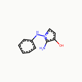 Nc1c(O)ccn1Nc1ccccc1